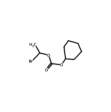 CC(Br)OC(=O)OC1CCCCC1